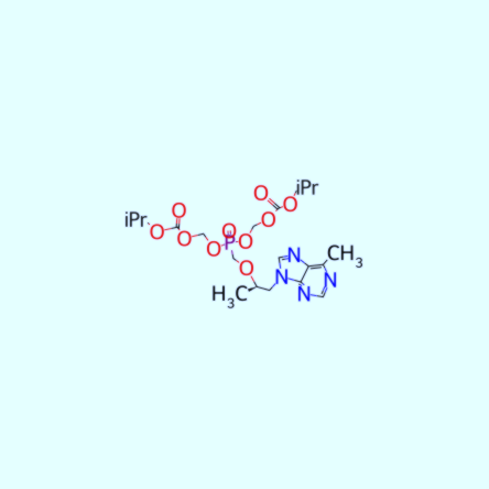 Cc1ncnc2c1ncn2C[C@@H](C)OCP(=O)(OCOC(=O)OC(C)C)OCOC(=O)OC(C)C